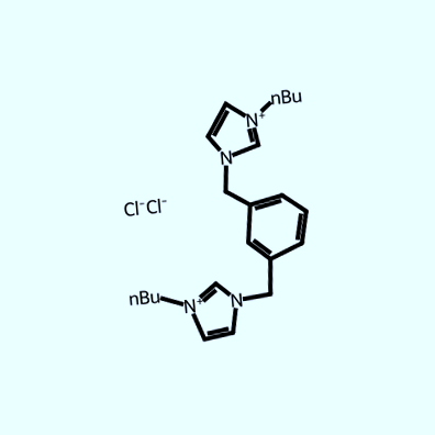 CCCC[n+]1ccn(Cc2cccc(Cn3cc[n+](CCCC)c3)c2)c1.[Cl-].[Cl-]